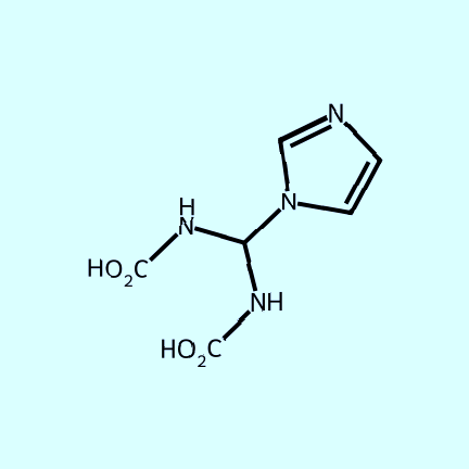 O=C(O)NC(NC(=O)O)n1ccnc1